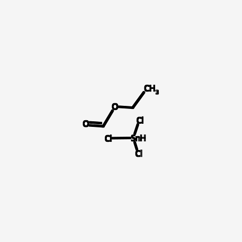 CCOC=O.[Cl][SnH]([Cl])[Cl]